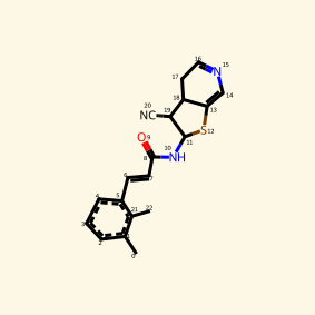 Cc1cccc(C=CC(=O)NC2SC3=CN=CCC3C2C#N)c1C